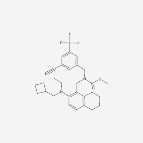 CCN(CC1CCC1)c1ccc2c(c1CN(Cc1cc(C#N)cc(C(F)(F)F)c1)C(=O)OC)CCCC2